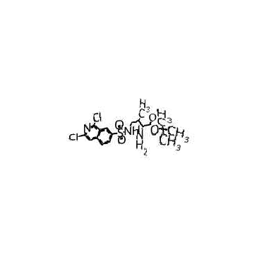 CC(CNS(=O)(=O)c1ccc2cc(Cl)nc(Cl)c2c1)[C@@H](N)C(=O)OC(C)(C)C